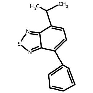 CC(C)c1ccc(-c2ccccc2)c2nsnc12